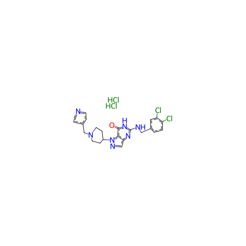 Cl.Cl.O=c1[nH]c(NCc2ccc(Cl)c(Cl)c2)nc2cnn(C3CCN(Cc4ccncc4)CC3)c12